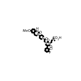 COc1ccc2c(c1)CCN(C1CCN(C(=O)Cn3cc(-c4cccc(F)c4Cl)c(=O)n(CCN(C)C(=O)O)c3=O)CC1)C(=O)N2